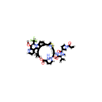 C=CC(=O)N1CC[C@H](C(=O)N(C)[C@H](C(=O)N[C@H]2Cc3nc(cs3)-c3ccc4c(c3)c(c(-c3cccnc3[C@H](C)OC)n4CC(F)(F)F)CC(C)(C)COC(=O)[C@@H]3CCCN(N3)C2=O)C(C)C)C1